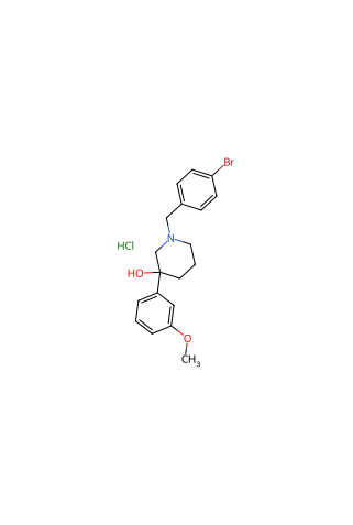 COc1cccc(C2(O)CCCN(Cc3ccc(Br)cc3)C2)c1.Cl